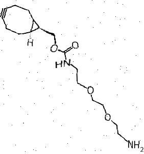 NCCOCCOCCNC(=O)OC[C@@H]1C2CCC#CCC[C@@H]21